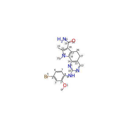 COc1cc(Br)ccc1Nc1ncc2c(n1)-c1c(c(C(N)=O)c(C)n1C)CC2